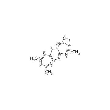 CC1=Nc2cc3c(cc2N=C(C)C1)N=C(C)CC(C)=N3